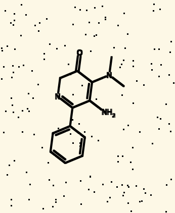 CN(C)C1=C(N)C(c2ccccc2)=NCC1=O